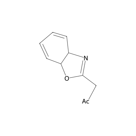 CC(=O)CC1=NC2C=CC=CC2O1